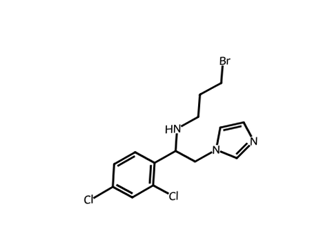 Clc1ccc(C(Cn2ccnc2)NCCCBr)c(Cl)c1